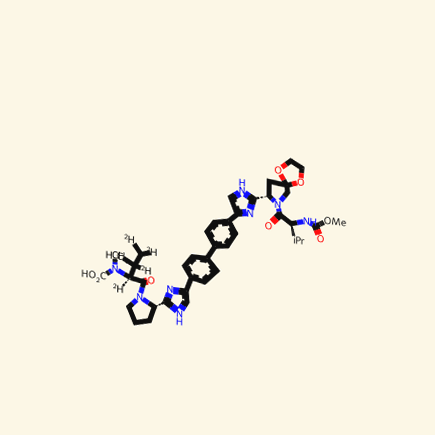 [2H]C([2H])C([2H])(C)[C@@]([2H])(C(=O)N1CCC[C@H]1c1nc(-c2ccc(-c3ccc(-c4c[nH]c([C@@H]5CC6(CN5C(=O)[C@@H](NC(=O)OC)C(C)C)OCCO6)n4)cc3)cc2)c[nH]1)N(C)C(=O)O